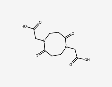 O=C(O)CN1CCC(=O)N(CC(=O)O)CCC1=O